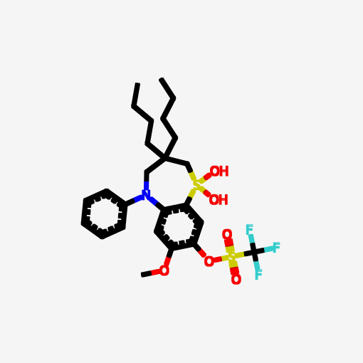 CCCCC1(CCCC)CN(c2ccccc2)c2cc(OC)c(OS(=O)(=O)C(F)(F)F)cc2S(O)(O)C1